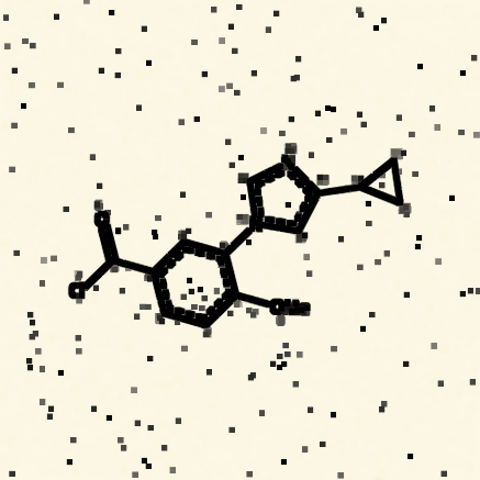 COc1ccc(C(=O)Cl)cc1-n1cnc(C2CC2)c1